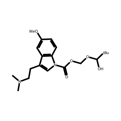 COc1ccc2c(c1)c(CCN(C)C)cn2C(=O)OCOC(O)C(C)(C)C